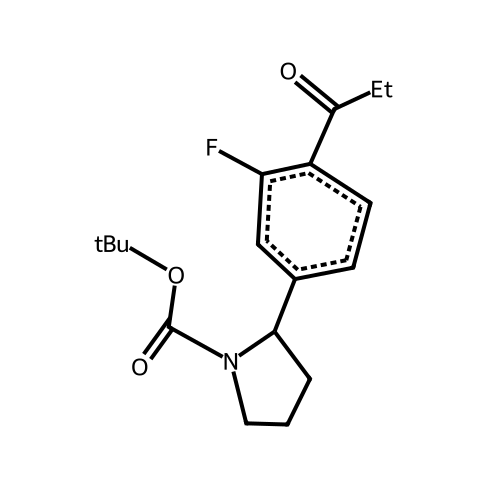 CCC(=O)c1ccc(C2CCCN2C(=O)OC(C)(C)C)cc1F